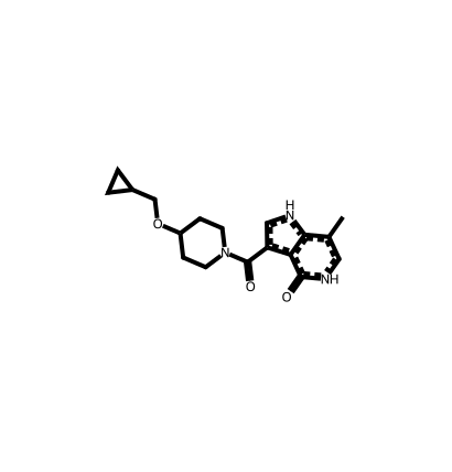 Cc1c[nH]c(=O)c2c(C(=O)N3CCC(OCC4CC4)CC3)c[nH]c12